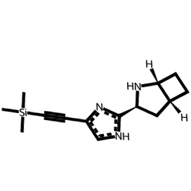 C[Si](C)(C)C#Cc1c[nH]c([C@@H]2C[C@H]3CC[C@H]3N2)n1